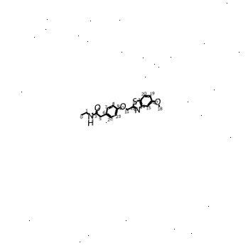 CCNC(=O)Cc1ccc(OCc2nc3cc(OC)ccc3s2)cc1